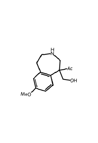 COc1ccc2c(c1)CCNCC2(CO)C(C)=O